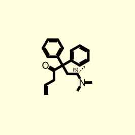 C=CCC(=O)C(C[C@H](C)N(C)C)(c1ccccc1)c1ccccc1